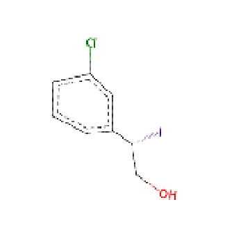 OC[C@@H](I)c1cccc(Cl)c1